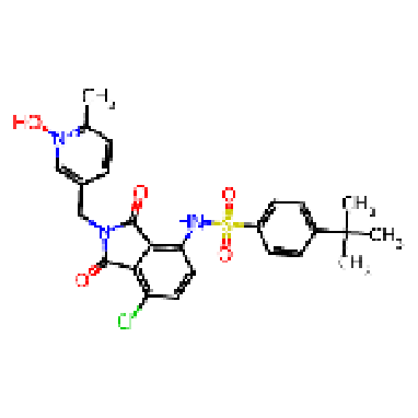 Cc1ccc(CN2C(=O)c3c(Cl)ccc(NS(=O)(=O)c4ccc(C(C)(C)C)cc4)c3C2=O)c[n+]1O